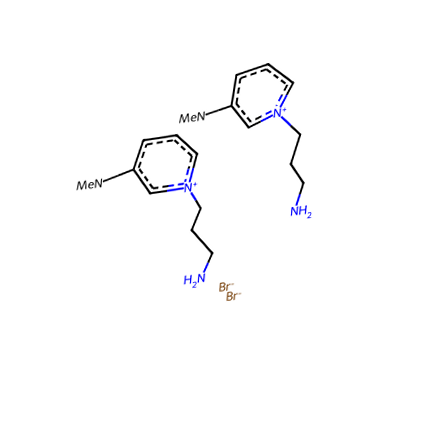 CNc1ccc[n+](CCCN)c1.CNc1ccc[n+](CCCN)c1.[Br-].[Br-]